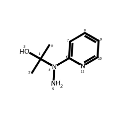 CC(C)(O)N(N)c1ccccn1